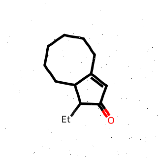 CCC1C(=O)C=C2CCCCCCC21